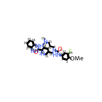 COc1ccc(NC(=O)N(CCCN(C)C)Cc2ccc(C(=O)Nc3ccccc3N)nc2)cc1F